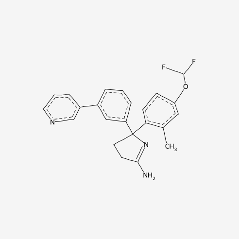 Cc1cc(OC(F)F)ccc1C1(c2cccc(-c3cccnc3)c2)CCC(N)=N1